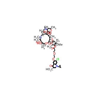 CC[C@H]1OC(=O)[C@H](C)[C@@H](O[C@H]2C[C@@](C)(OC)[C@@H](OC(=O)CCOCCOc3cc4c(=O)c(C(=O)O)cn(C5CC5)c4cc3Cl)[C@H](C)O2)[C@H](C)[C@@H](O[C@@H]2O[C@H](C)C[C@H](N(C)C)[C@H]2O)[C@](C)(O)C[C@@H](C)CN(C)[C@H](C)[C@@H](O)[C@]1(C)O